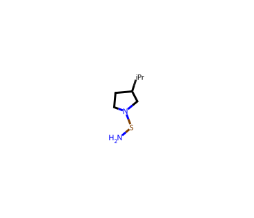 CC(C)C1CCN(SN)C1